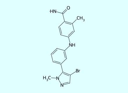 Cc1cc(Nc2cccc(-c3c(Br)cnn3C)c2)ccc1C([NH])=O